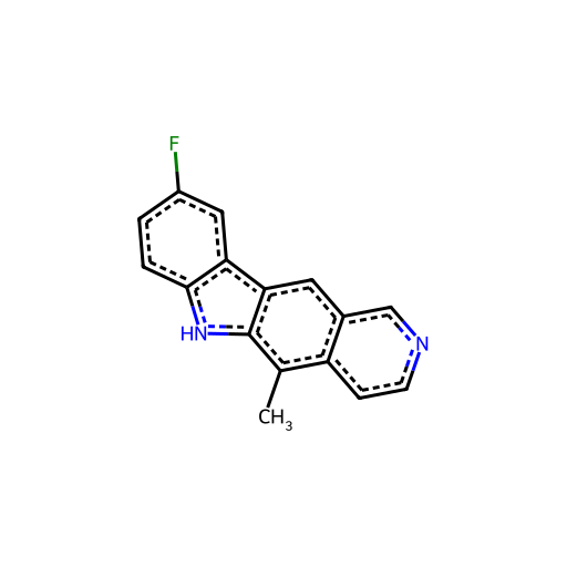 Cc1c2ccncc2cc2c1[nH]c1ccc(F)cc12